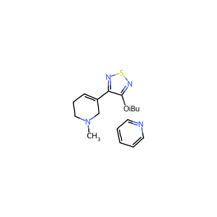 CC(C)COc1nsnc1C1=CCCN(C)C1.c1ccncc1